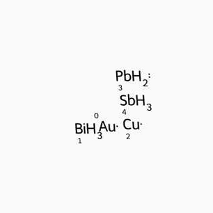 [Au].[BiH3].[Cu].[PbH2].[SbH3]